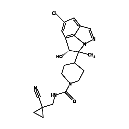 CC1(C2CCN(C(=O)NCC3(C#N)CC3)CC2)[C@H](O)c2cc(Cl)cc3cnn1c23